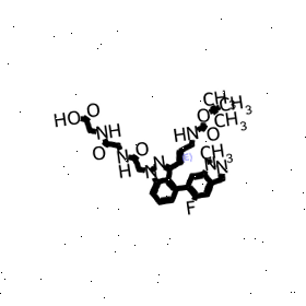 Cn1ncc2cc(F)c(-c3cccc4c3c(/C=C/CNC(=O)OC(C)(C)C)nn4CC(=O)NCC(=O)NCC(=O)O)cc21